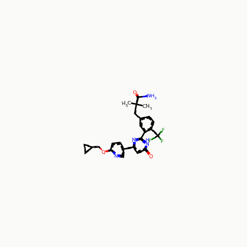 CC(C)(Cc1ccc(C(F)(F)F)c(-c2nc(-c3ccc(OCC4CC4)nc3)cc(=O)[nH]2)c1)C(N)=O